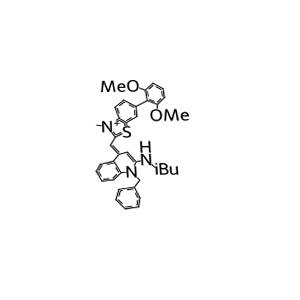 CCC(C)NC1=CC(=Cc2sc3cc(-c4c(OC)cccc4OC)ccc3[n+]2C)c2ccccc2N1Cc1ccccc1